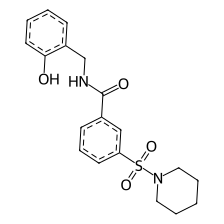 O=C(NCc1ccccc1O)c1cccc(S(=O)(=O)N2CCCCC2)c1